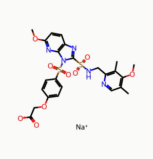 COc1ccc2nc(S(=O)(=O)NCc3ncc(C)c(OC)c3C)n(S(=O)(=O)c3ccc(OCC(=O)[O-])cc3)c2n1.[Na+]